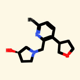 CC(C)c1ccc(C2CCOC2)c(CN2CC[C@H](O)C2)n1